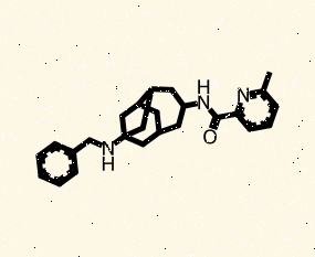 Cc1cccc(C(=O)NC2CC3CC4CC(NCc5ccccc5)(C3)CC4C2)n1